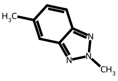 Cc1ccc2nn(C)nc2c1